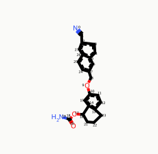 N#Cc1ccc2cc(COc3ccc4c(c3)C(OC(N)=O)CCC4)ccc2c1